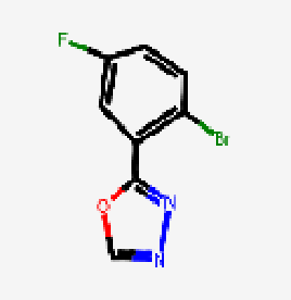 Fc1ccc(Br)c(-c2nnco2)c1